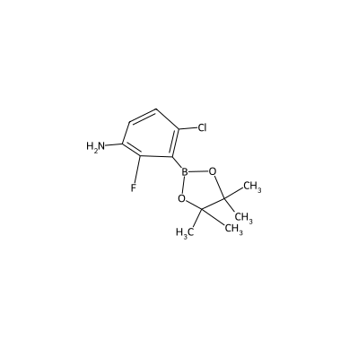 CC1(C)OB(c2c(Cl)ccc(N)c2F)OC1(C)C